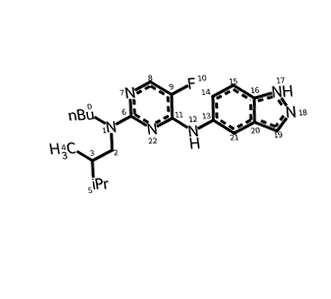 CCCCN(CC(C)C(C)C)c1ncc(F)c(Nc2ccc3[nH]ncc3c2)n1